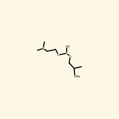 COC(C)COP(O)OCCN(C)C